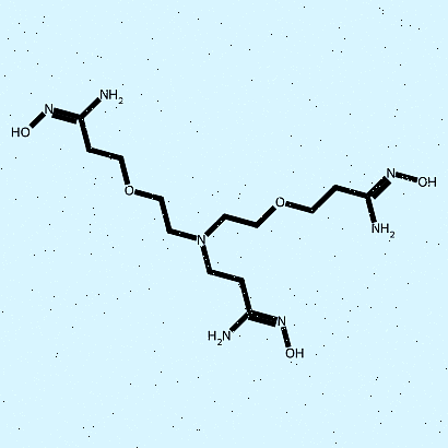 N/C(CCOCCN(CCOCC/C(N)=N\O)CC/C(N)=N/O)=N\O